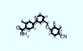 Cc1cc(-c2cc(COc3ccc(C#N)c(C)c3F)ccn2)ccc1C(N)=O